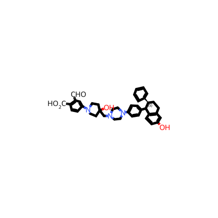 O=Cc1cc(N2CCC(O)(CN3CCN(c4ccc(C5c6ccc(O)cc6CC[C@@H]5c5ccccc5)cc4)CC3)CC2)ccc1C(=O)O